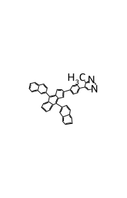 Cc1ncncc1-c1ccc(-c2ccc3c(-c4ccc5ccccc5c4)c4ccccc4c(-c4ccc5ccccc5c4)c3c2)cc1